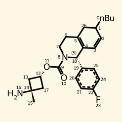 CCCCC1C=CC2=C(CCN(C(=O)O[C@H]3C[C@@](C)(N)C3)[C@H]2c2ccc(F)cc2)C1